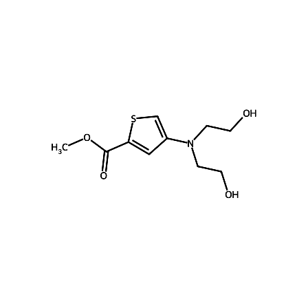 COC(=O)c1cc(N(CCO)CCO)cs1